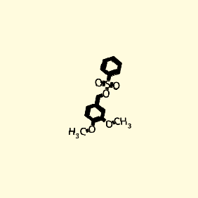 COc1ccc(COS(=O)(=O)c2ccccc2)cc1OC